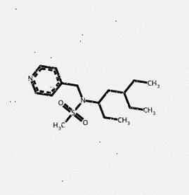 CCC(CC)CC(CC)N(Cc1ccncc1)S(C)(=O)=O